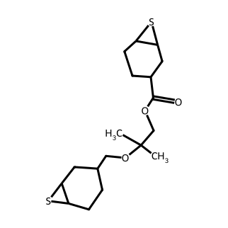 CC(C)(COC(=O)C1CCC2SC2C1)OCC1CCC2SC2C1